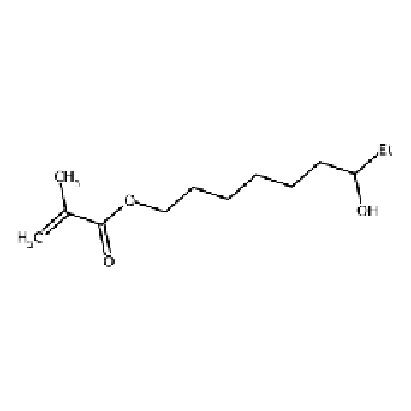 C=C(C)C(=O)OCCCCCCC(O)CC